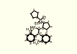 CC[PH](CC)(C1CCCC1)[C@H]1CCC[C@H]1C(C)P(c1ccccc1C)c1ccccc1C